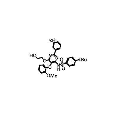 COc1ccccc1Oc1c(NS(=O)(=O)c2ccc(C(C)(C)C)cc2)nc(-c2ccccc2)nc1OCCO.[KH]